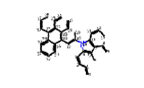 C=C/C=C\c1c(C)c(C=C)c(/C=C\C)n1/C(C)=C/c1c(C=C)c(C=C)c(/C=C\C)c2ccccc12